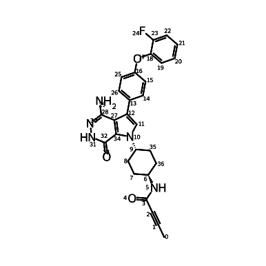 CC#CC(=O)N[C@H]1CC[C@H](n2cc(-c3ccc(Oc4ccccc4F)cc3)c3c(N)n[nH]c(=O)c32)CC1